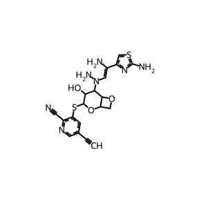 C#Cc1cnc(C#N)c(SC2OC3COC3C(N(N)/C=C(\N)c3csc(N)n3)C2O)c1